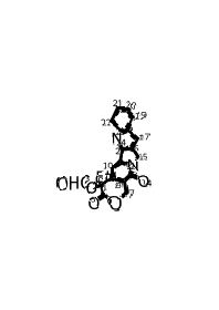 CC[C@@]1(OC=O)C(=O)OCc2c1cc1n(c2=O)Cc2cc3ccccc3nc2-1